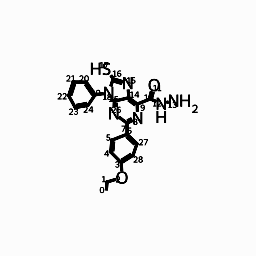 CCOc1ccc(-c2nc(C(=O)NN)c3nc(S)n(-c4ccccc4)c3n2)cc1